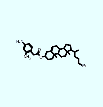 CC(C)CCCC(C)C1CCC2C3CC=C4CC(OC(=O)Cc5ccc(N)cc5N)CCC4(C)C3CCC12C